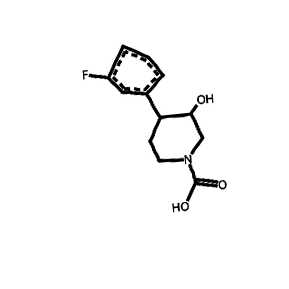 O=C(O)N1CCC(c2cccc(F)c2)C(O)C1